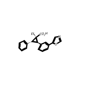 CC[C@@]1(C(=O)O)[C@@H](c2ccccc2)[C@@H]1c1cccc(-c2cnco2)c1